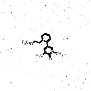 Cc1cc(C2=CC=CCC2CCOC(F)(F)F)cn(C)c1=O